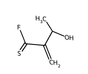 C=C(C(F)=S)C(C)O